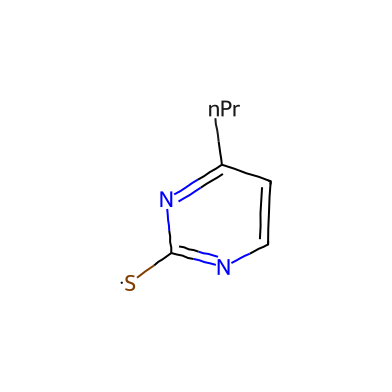 CCCc1ccnc([S])n1